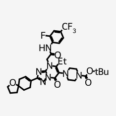 CCc1c(N2CCN(C(=O)OC(C)(C)C)CC2)c(=O)n2nc(C3=CCC4(CCCO4)CC3)nc2n1CC(=O)Nc1ccc(C(F)(F)F)cc1F